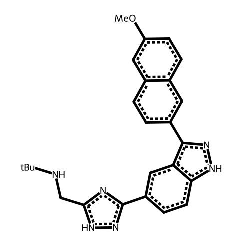 COc1ccc2cc(-c3n[nH]c4ccc(-c5n[nH]c(CNC(C)(C)C)n5)cc34)ccc2c1